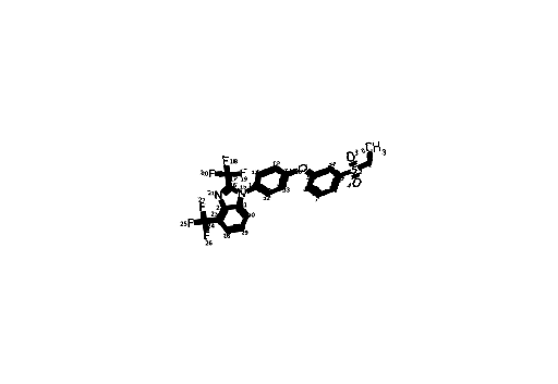 CCS(=O)(=O)c1cccc(Oc2ccc(-n3c(C(F)(F)F)nc4c(C(F)(F)F)cccc43)cc2)c1